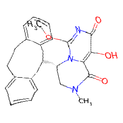 COc1nc(=O)c(O)c2n1[C@@H](C1c3ccccc3CCc3ccccc31)CN(C)C2=O